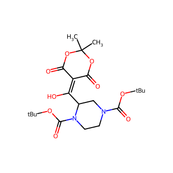 CC(C)(C)OC(=O)N1CCN(C(=O)OC(C)(C)C)C(C(O)=C2C(=O)OC(C)(C)OC2=O)C1